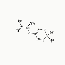 [2H]C1(O)C=CC(C[C@H](N)C(=O)O)=CC1